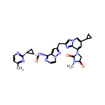 Cc1ccnc([C@H]2C[C@@H]2C(=O)Nc2nccn3nc(Cc4cn5cc(C6CC6)cc(N6CC(=O)N(C)C6=O)c5n4)cc23)n1